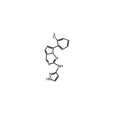 COc1ccccc1-c1ccc2cnc(Nc3cc[nH]n3)nn12